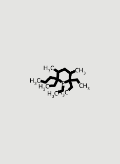 CCCC1(CC)C(C)CC(C)C(CC)(CC)P1CC